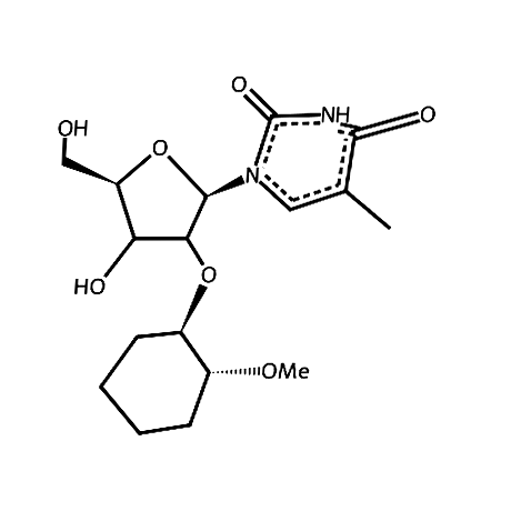 CO[C@@H]1CCCC[C@H]1OC1C(O)[C@@H](CO)O[C@H]1n1cc(C)c(=O)[nH]c1=O